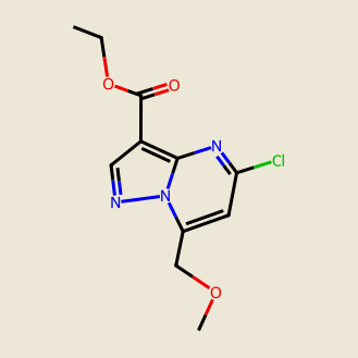 CCOC(=O)c1cnn2c(COC)cc(Cl)nc12